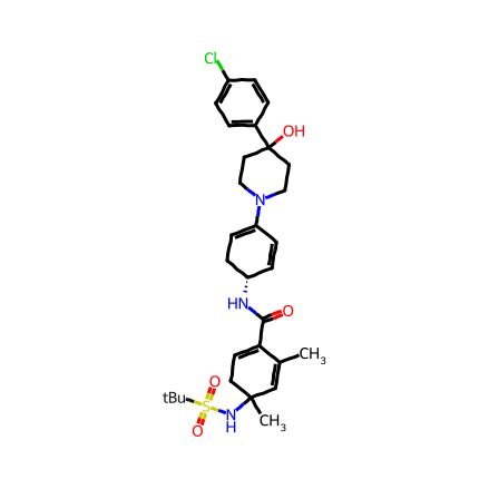 CC1=CC(C)(NS(=O)(=O)C(C)(C)C)CC=C1C(=O)N[C@H]1C=CC(N2CCC(O)(c3ccc(Cl)cc3)CC2)=CC1